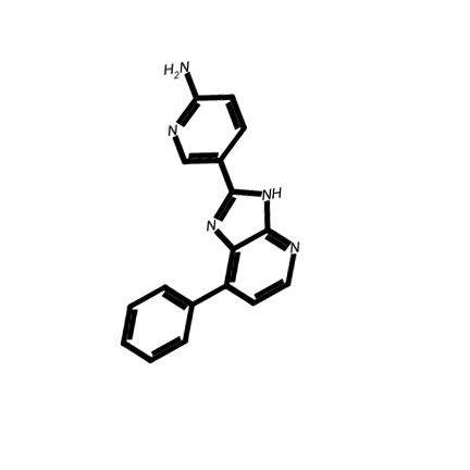 Nc1ccc(-c2nc3c(-c4ccccc4)ccnc3[nH]2)cn1